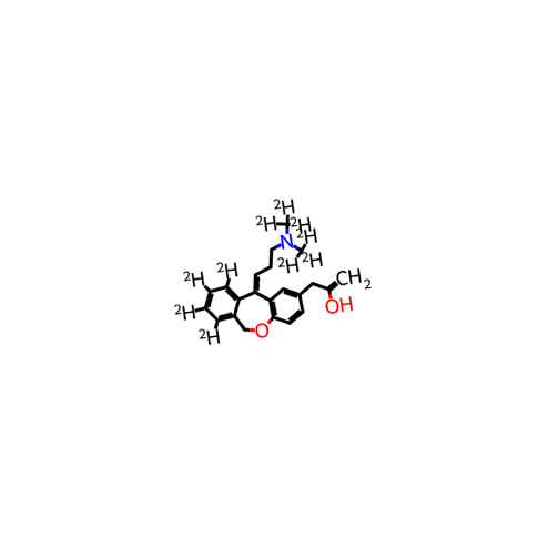 [2H]c1c([2H])c([2H])c2c(c1[2H])COc1ccc(CC(=C)O)cc1/C2=C\CCN(C([2H])([2H])[2H])C([2H])([2H])[2H]